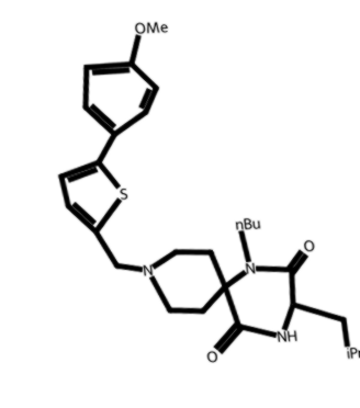 CCCCN1C(=O)C(CC(C)C)NC(=O)C12CCN(Cc1ccc(-c3ccc(OC)cc3)s1)CC2